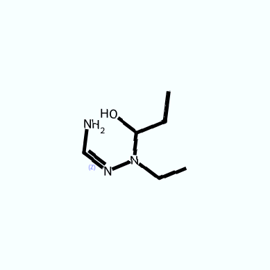 CCC(O)N(CC)/N=C\N